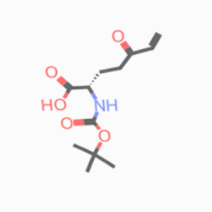 C=CC(=O)CC[C@H](NC(=O)OC(C)(C)C)C(=O)O